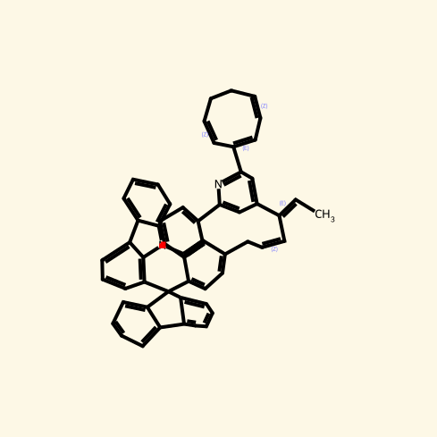 C/C=C(\C=C/Cc1ccc2c(c1)-n1c3ccccc3c3cccc(c31)C21c2ccccc2-c2ccccc21)c1cc(C2=C/C=C\CC/C=C\2)nc(-c2ccccc2)c1